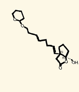 O=C1C[C@]2(C=CCCCCCCOC3CCCCO3)CCC[C@@]2(CO)O1